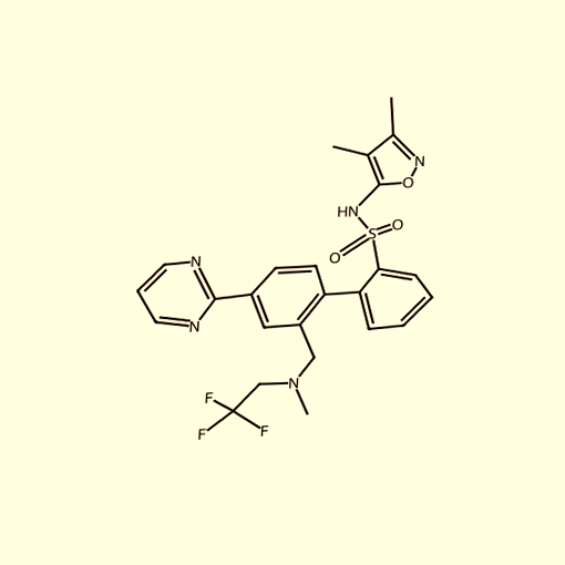 Cc1noc(NS(=O)(=O)c2ccccc2-c2ccc(-c3ncccn3)cc2CN(C)CC(F)(F)F)c1C